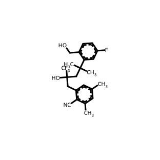 Cc1cc(C)c(C#N)c(CC(O)(CC(C)(C)c2cc(F)ccc2CO)C(F)(F)F)c1